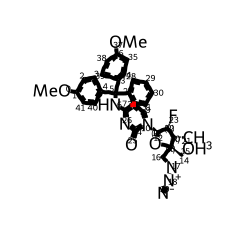 COc1ccc(C(Nc2ccn([C@@H]3O[C@@](CO)(CN=[N+]=[N-])[C@@H](C)[C@H]3F)c(=O)n2)(c2ccccc2)c2ccc(OC)cc2)cc1